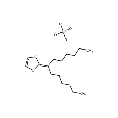 CCCCCC[N+](CCCCCC)=c1sccs1.[O-][Cl+3]([O-])([O-])[O-]